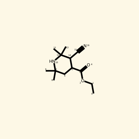 CCOC(=O)C1CC(C)(C)NC(C)(C)C1C#N